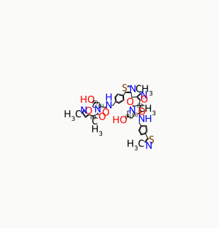 Cc1cc([C@@H](C)C(=O)N2C[C@H](O)C[C@H]2C(=O)NCc2ccc(-c3scnc3Cc3c(C)noc3[C@H](C)C(=O)N3C[C@H](O)C[C@H]3C(=O)NCc3ccc(-c4scnc4C)cc3)cc2)on1